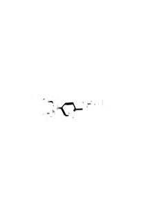 CC(C)(C)OC(=O)N(OC(C)(C)C)c1ccc(/C=N/N)nc1C(=O)O